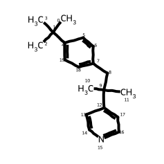 CC(C)(C)c1ccc(CC(C)(C)c2ccncc2)cc1